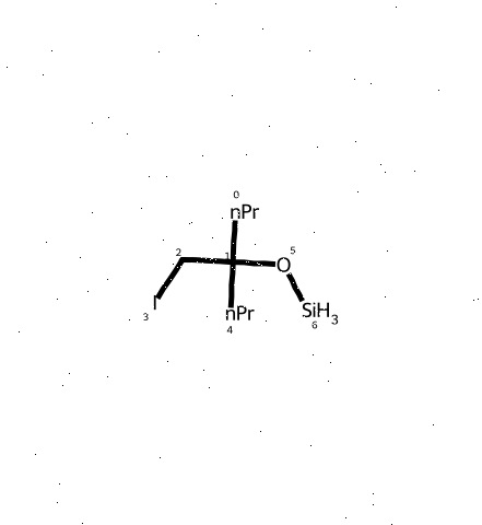 CCCC(CI)(CCC)O[SiH3]